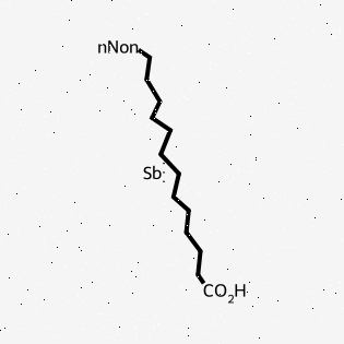 CCCCCCCCCCCCCCCCCCCCCC(=O)O.[Sb]